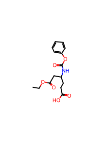 CCOC(=O)CC(CCC(=O)O)NC(=O)Oc1ccccc1